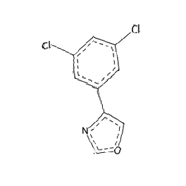 Clc1cc(Cl)cc(-c2co[c]n2)c1